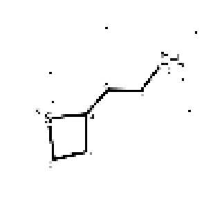 CCCC1CCS1